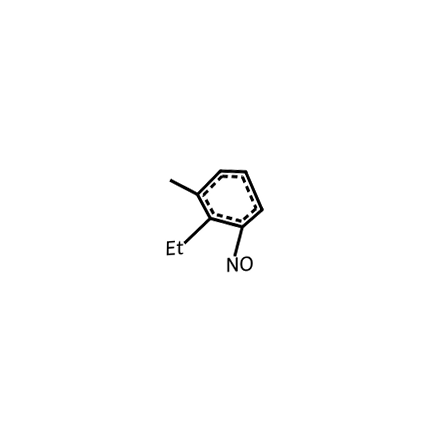 CCc1c(C)cccc1N=O